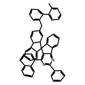 Cc1ccccc1-c1ccccc1CC1=CC2C(C=C1)c1ccccc1C21c2ccccc2-c2nc(-c3ccccc3)nc(-c3cccc4ccccc34)c21